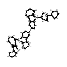 c1ccc(-c2ccc(-n3c4ccccc4c4cc(-c5ccc6c(c5)c5cccnc5n6-c5cccc6c5sc5ccccc56)ccc43)cc2)cc1